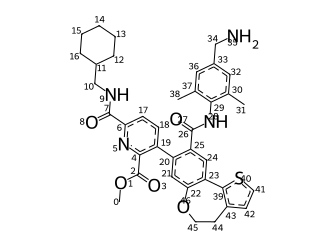 COC(=O)c1nc(C(=O)NCC2CCCCC2)ccc1-c1cc2c(cc1C(=O)Nc1c(C)cc(CN)cc1C)-c1sccc1CCO2